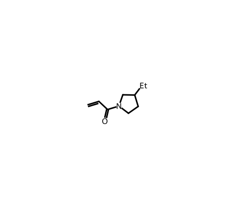 C=CC(=O)N1CCC(CC)C1